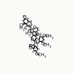 COc1ccc(CN(Cc2ccc(OC)cc2OC)c2cc(N[C@@H]3CCO[C@@H](C(=O)N4CCc5cc(Cl)cc(Cl)c5[C@@H]4C)C3)c(N)cn2)c(OC)c1